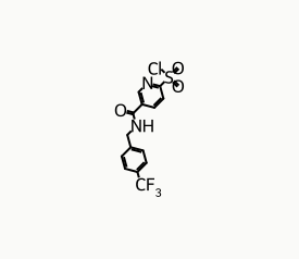 O=C(NCc1ccc(C(F)(F)F)cc1)c1ccc(S(=O)(=O)Cl)nc1